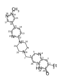 CCc1cc2ncc(CN3CCN(c4ccc(-c5cnn(C)c5)cn4)CC3)cc2[nH]c1=O